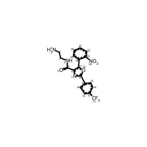 NCCNC(=O)c1nc(-c2ccc(C(F)(F)F)cc2)oc1-c1ccccc1[N+](=O)[O-]